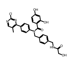 Cc1cnc(Cl)nc1-c1ccc(N(Cc2ccc(CNC(=O)CO)cc2)C(=O)c2ccc(O)cc2O)cc1